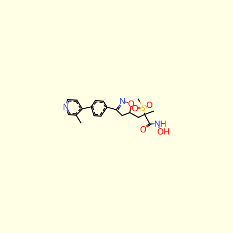 Cc1cnccc1-c1ccc(C2=NOC(CC(C)(C(=O)NO)S(C)(=O)=O)C2)cc1